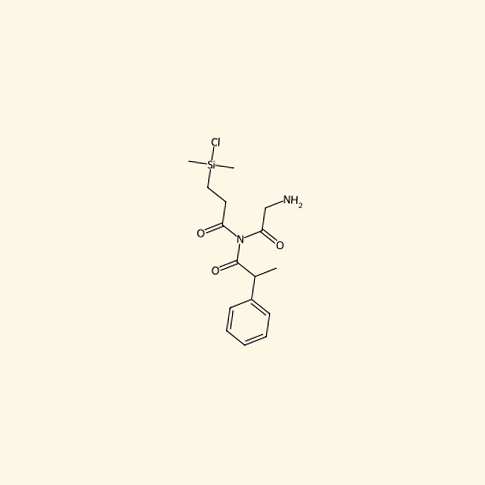 CC(C(=O)N(C(=O)CN)C(=O)CC[Si](C)(C)Cl)c1ccccc1